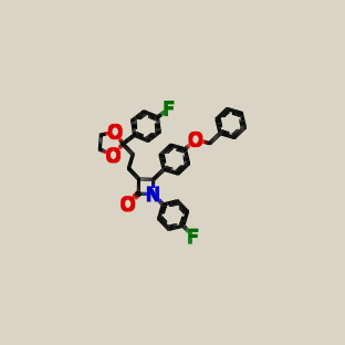 O=C1C(CCC2(c3ccc(F)cc3)OCCO2)C(c2ccc(OCc3ccccc3)cc2)N1c1ccc(F)cc1